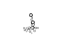 CC(C)(C)OC(=O)N[C@@H](Cc1ccc(OCc2ccccc2)cc1)[C@@H](O)CCl